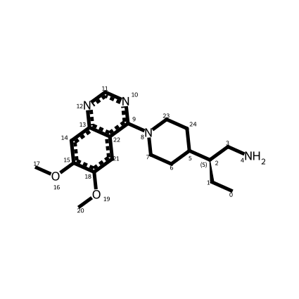 CC[C@H](CN)C1CCN(c2ncnc3cc(OC)c(OC)cc23)CC1